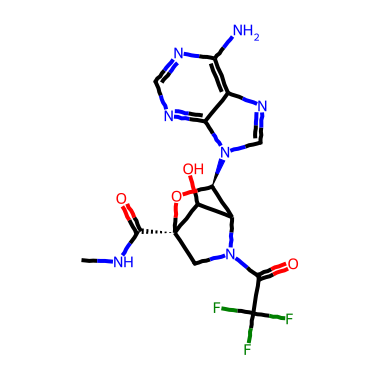 CNC(=O)[C@@]12CN(C(=O)C(F)(F)F)C(C1O)[C@H](n1cnc3c(N)ncnc31)O2